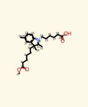 COC(=O)CCCCCC1(C)C(C)=[N+](CCCCCC(=O)O)c2ccc(C)cc21